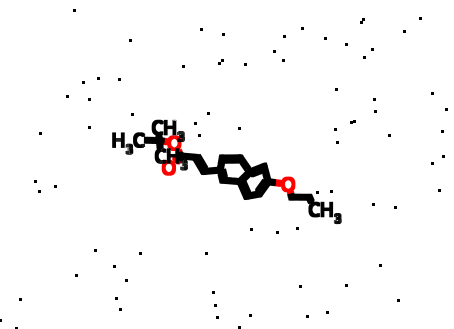 CCCOc1ccc2cc(C=CC(=O)OC(C)(C)C)ccc2c1